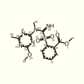 COC(=O)c1ccccc1S(=O)(=O)C(=N)N(C)c1nc(C)nc(OC)n1